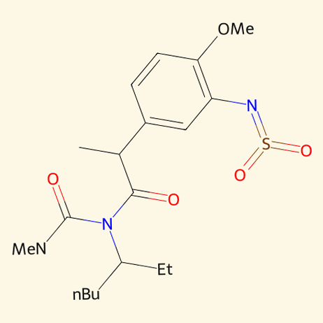 CCCCC(CC)N(C(=O)NC)C(=O)C(C)c1ccc(OC)c(N=S(=O)=O)c1